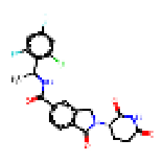 O=C1CC[C@@H](N2Cc3cc(C(=O)N[C@H](c4c(F)cc(F)cc4Cl)C(F)(F)F)ccc3C2=O)C(=O)N1